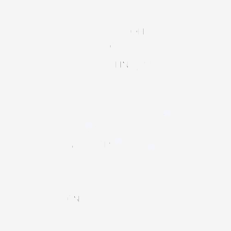 CC(CO)NC(=O)CCC/C=C\C/C=C\C/C=C\C/C=C\C(C)(C)CCCCC#N